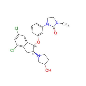 CN1CCN(c2cccc(O[C@H]3c4cc(Cl)cc(Cl)c4C[C@@H]3N3CCC(O)C3)c2)C1=O